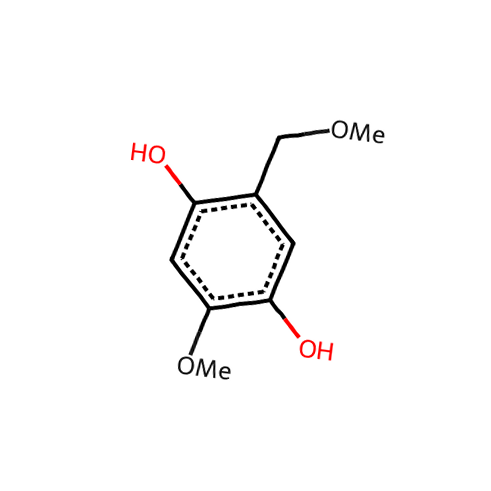 COCc1cc(O)c(OC)cc1O